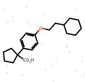 O=C(O)C1(c2ccc(OCCC3CCCCC3)cc2)CCCC1